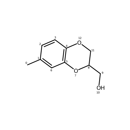 Cc1ccc2c(c1)OC(CO)CO2